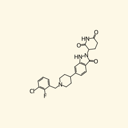 O=C1CCC(n2[nH]c3cc(C4CCN(Cc5cccc(Cl)c5F)CC4)ccc3c2=O)C(=O)N1